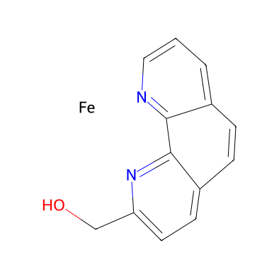 OCc1ccc2ccc3cccnc3c2n1.[Fe]